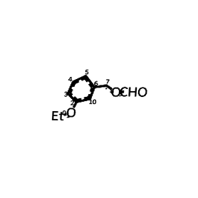 CCOc1cccc([CH]OC=O)c1